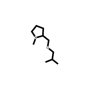 CC(C)COCC1CCCN1C